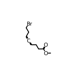 COC(=O)CCC=C=CCCBr